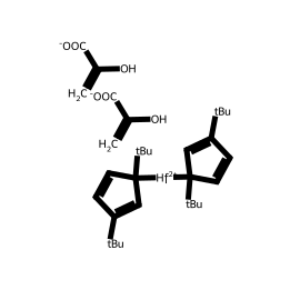 C=C(O)C(=O)[O-].C=C(O)C(=O)[O-].CC(C)(C)C1=C[C]([Hf+2][C]2(C(C)(C)C)C=CC(C(C)(C)C)=C2)(C(C)(C)C)C=C1